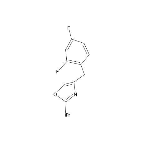 CC(C)c1nc(Cc2ccc(F)cc2F)co1